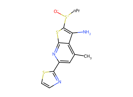 CCC[S+]([O-])c1sc2nc(-c3nccs3)cc(C)c2c1N